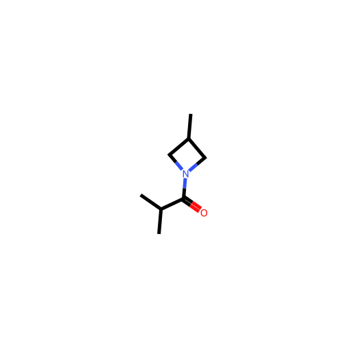 CC1CN(C(=O)C(C)C)C1